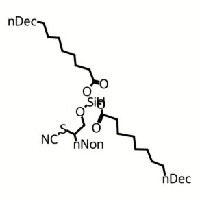 CCCCCCCCCCCCCCCCCC(=O)O[SiH](OCC(CCCCCCCCC)SC#N)OC(=O)CCCCCCCCCCCCCCCCC